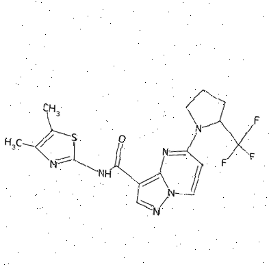 Cc1nc(NC(=O)c2cnn3ccc(N4CCCC4C(F)(F)F)nc23)sc1C